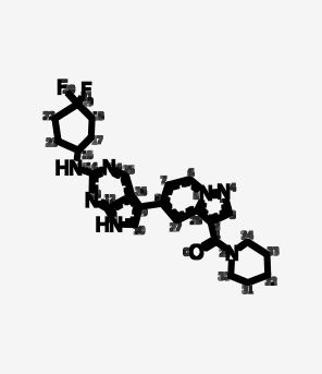 O=C(c1cnn2ccc(-c3c[nH]c4nc(NC5CCC(F)(F)CC5)ncc34)cc12)N1CCCCC1